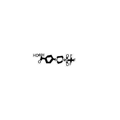 O=C(NO)c1ccc(N2CCN(S(=O)(=O)C(F)(F)F)CC2)cc1